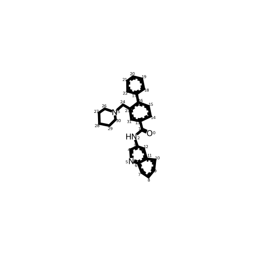 O=C(Nc1cnc2ccccc2c1)c1ccc(-c2ccccc2)c(CN2CCCCC2)c1